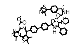 COC(=O)C[C@@H]1N=C(c2ccc(-c3ccc(C(=O)N[C@H](C(=O)N4CCC[C@H]4C(=O)N[C@@H](C)c4ccc(-c5scnc5C)cc4)c4ccccc4)cc3)cc2)c2c(sc(C)c2C)-n2c(C)nnc21